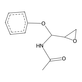 CC(=O)NC(Oc1ccccc1)C1CO1